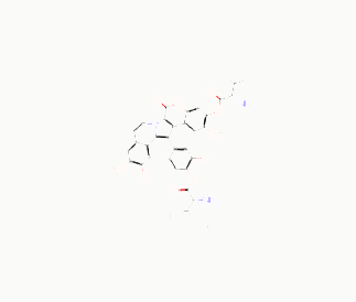 COc1cc2ccn3c(c(-c4ccc(OC(=O)[C@@H](N)C(C)C)c(OC)c4)c4c5cc(OC)c(OC(=O)[C@@H](N)C(C)C)cc5oc(=O)c43)c2cc1OC